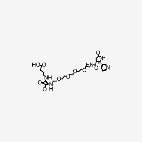 CN1C(=O)C[C@H](C(=O)NCCOCCOCCOCCOCCNc2c(NCCCC(=O)O)c(=O)c2=O)[C@H]1c1cccnc1